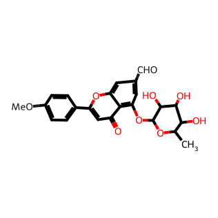 COc1ccc(-c2cc(=O)c3c(OC4OC(C)C(O)C(O)C4O)cc(C=O)cc3o2)cc1